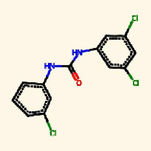 O=C(Nc1cccc(Cl)c1)Nc1cc(Cl)cc(Cl)c1